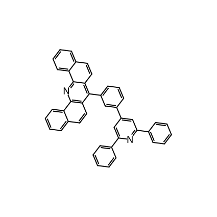 c1ccc(-c2cc(-c3cccc(-c4c5ccc6ccccc6c5nc5c4ccc4ccccc45)c3)cc(-c3ccccc3)n2)cc1